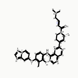 Cc1c(Oc2ccn3ncnc3c2)ccc(Nc2ncnc3cnc(C4=C[C@@H](C)N(C(=O)/C=C/CN(C)C)CC4)nc23)c1F